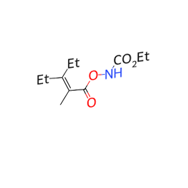 CCOC(=O)NOC(=O)C(C)=C(CC)CC